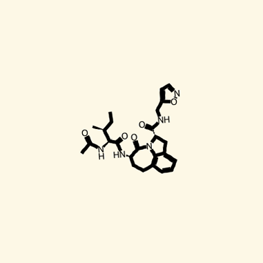 CC[C@H](C)[C@H](NC(C)=O)C(=O)N[C@H]1CCc2cccc3c2N(C1=O)[C@H](C(=O)NCc1ccno1)C3